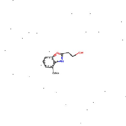 COc1cccc2oc(CCO)nc12